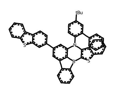 CC(C)(C)c1ccc(N2c3cc(-c4ccc5c(c4)sc4ccccc45)cc4c3B(c3ccccc3-4)c3sc4ccccc4c32)c(-c2ccccc2)c1